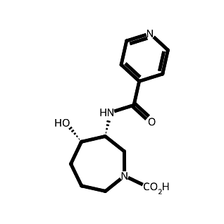 O=C(N[C@@H]1CN(C(=O)O)CCC[C@@H]1O)c1ccncc1